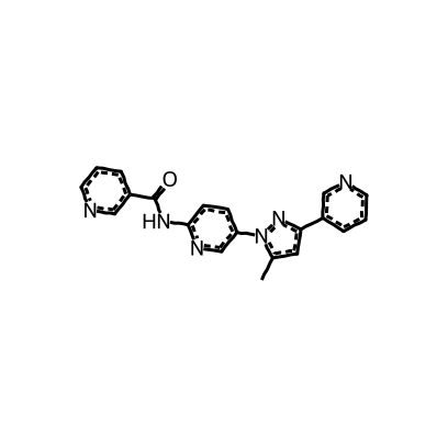 Cc1cc(-c2cccnc2)nn1-c1ccc(NC(=O)c2cccnc2)nc1